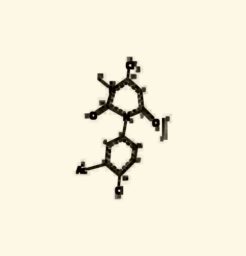 C=C.CC(=O)c1cc(-n2c(=O)cc(C(F)(F)F)n(C)c2=O)ccc1Cl